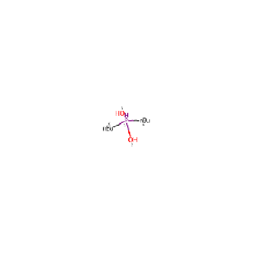 CCCC[PH](O)(O)CCCC